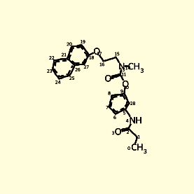 CCC(=O)Nc1cccc(OC(=O)N(C)CCOc2ccc3ccccc3c2)c1